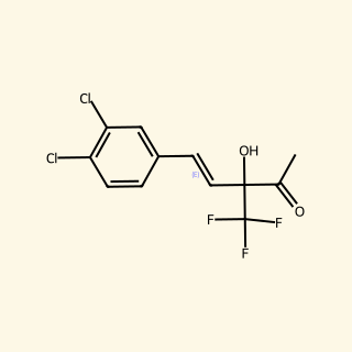 CC(=O)C(O)(/C=C/c1ccc(Cl)c(Cl)c1)C(F)(F)F